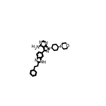 Nc1ncnc2c1c(-c1ccc3nc(CCc4ccccc4)[nH]c3c1)nn2[C@H]1CC[C@H](N2CCOCC2)CC1